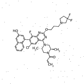 C=CC(=O)N1C[C@H](C)N(c2nc(OCCCN3CCC(F)(F)C3)nc3c(F)c(-c4cc(O)cc5ccccc45)c(Cl)cc23)C[C@H]1C